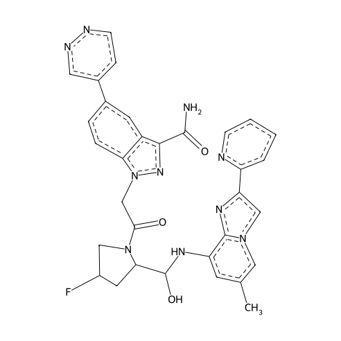 Cc1cc(NC(O)C2CC(F)CN2C(=O)Cn2nc(C(N)=O)c3cc(-c4ccnnc4)ccc32)c2nc(-c3ccccn3)cn2c1